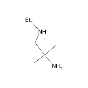 CCNCC(C)(C)N